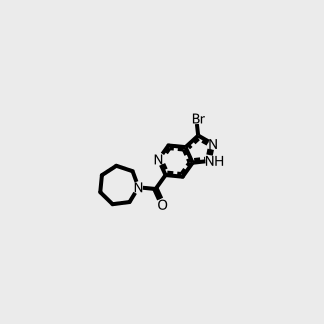 O=C(c1cc2[nH]nc(Br)c2cn1)N1CCCCCC1